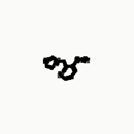 CCCOc1cccnc1Cn1ccnc1